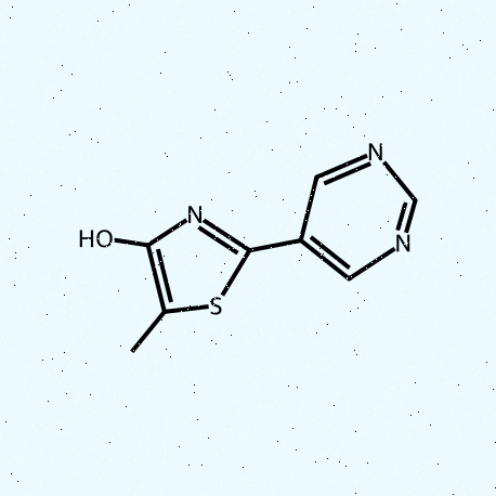 Cc1sc(-c2cncnc2)nc1O